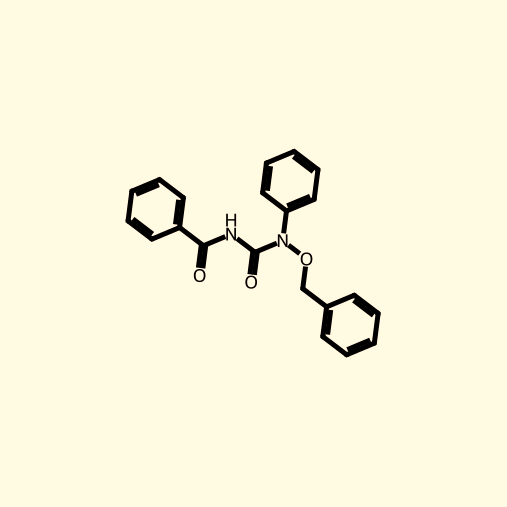 O=C(NC(=O)N(OCc1ccccc1)c1ccccc1)c1ccccc1